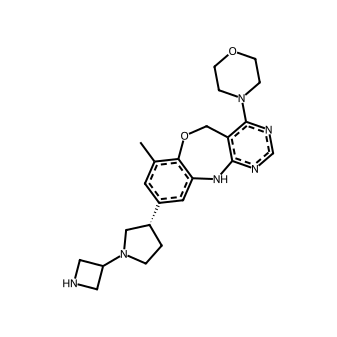 Cc1cc([C@@H]2CCN(C3CNC3)C2)cc2c1OCc1c(ncnc1N1CCOCC1)N2